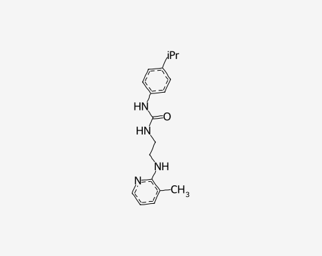 Cc1cccnc1NCCNC(=O)Nc1ccc(C(C)C)cc1